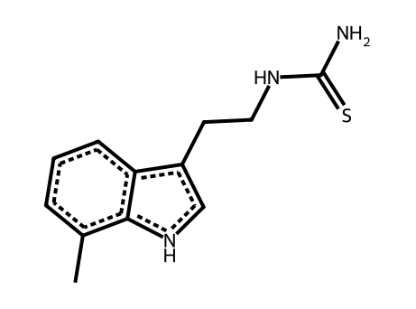 Cc1cccc2c(CCNC(N)=S)c[nH]c12